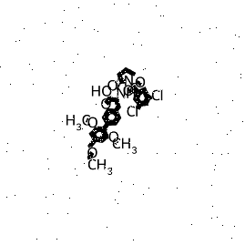 CCOCc1cc(OC)c(-c2ccc(CC(NC(=O)[C@@H]3CCCN3S(=O)(=O)c3cc(Cl)cc(Cl)c3)C(=O)O)cc2)c(OC)c1